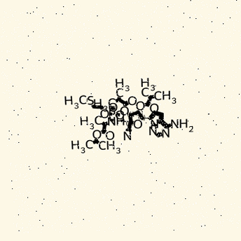 CSCCOP(=O)(NC(C)C(=O)OC(C)C)OC[C@@]1(C#N)O[C@@H](c2ccc3c(N)ncnn23)[C@H](OC(=O)C(C)C)[C@@H]1OC(=O)C(C)C